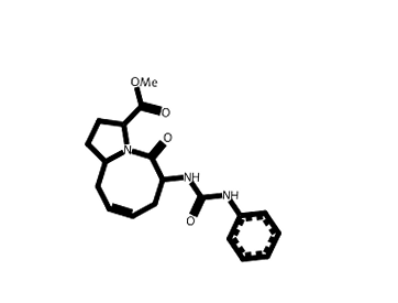 COC(=O)C1CCC2CC=CCC(NC(=O)Nc3ccccc3)C(=O)N21